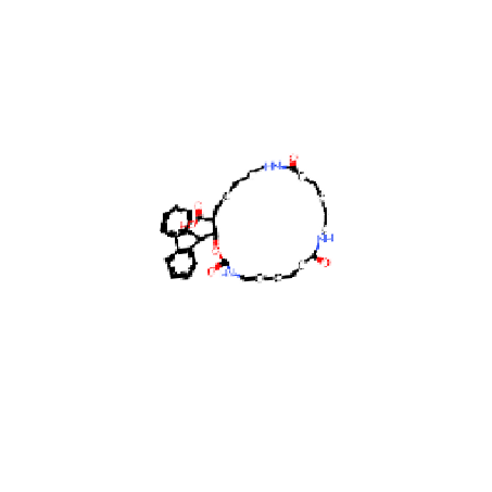 O=C1CCCCCNC(=O)CCCCCNC(=O)OC(C2c3ccccc3-c3ccccc32)C(C(=O)O)CCCCCN1